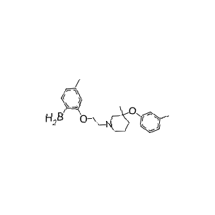 Bc1ccc(C)cc1OCCN1CCCC(C)(Oc2cccc(C)c2)C1